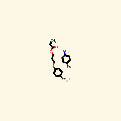 C=CC(=O)OCCCOc1ccc(C(=O)O)cc1.N#Cc1ccc(N)cc1